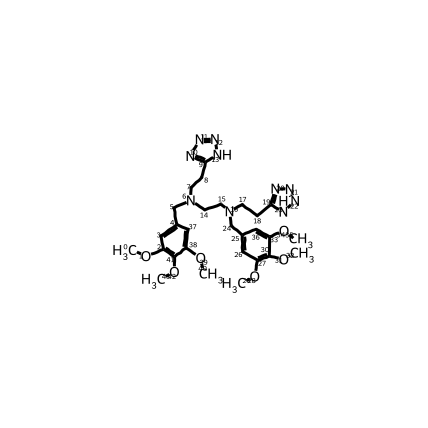 COc1cc(CN(CCc2nnn[nH]2)CCN(CCc2nnn[nH]2)Cc2cc(OC)c(OC)c(OC)c2)cc(OC)c1OC